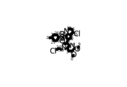 COc1cc2c(nc1OC)c(-c1cc3c(Cl)ccnc3n1S(=O)(=O)c1ccc(C)cc1)cn2CCCl